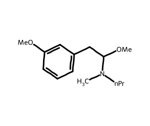 [CH2]CCN(C)C(Cc1cccc(OC)c1)OC